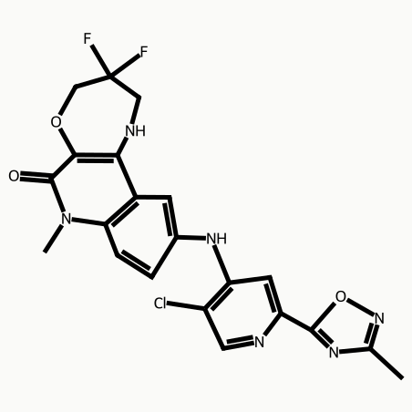 Cc1noc(-c2cc(Nc3ccc4c(c3)c3c(c(=O)n4C)OCC(F)(F)CN3)c(Cl)cn2)n1